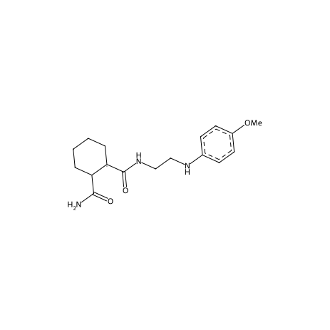 COc1ccc(NCCNC(=O)[C]2CCCCC2C(N)=O)cc1